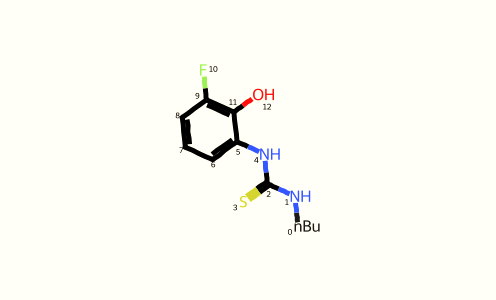 CCCCNC(=S)Nc1cccc(F)c1O